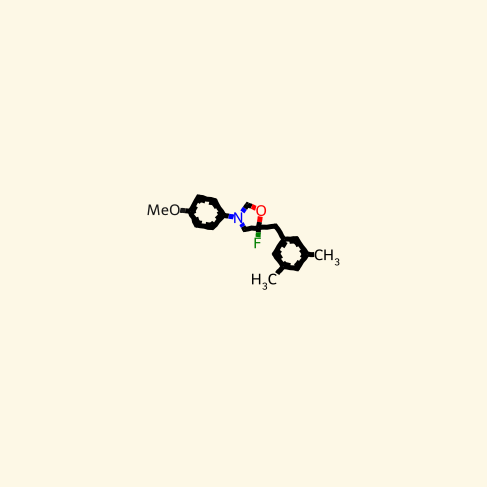 COc1ccc(N2COC(F)(Cc3cc(C)cc(C)c3)C2)cc1